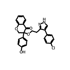 O=C1c2ccccc2OCC1(OCCc1n[nH]cc1-c1ccc(Cl)cc1)c1ccc(O)cc1